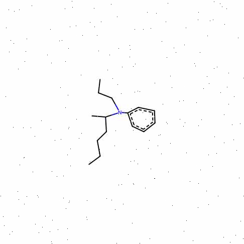 CCCCC(C)N(CCC)c1ccccc1